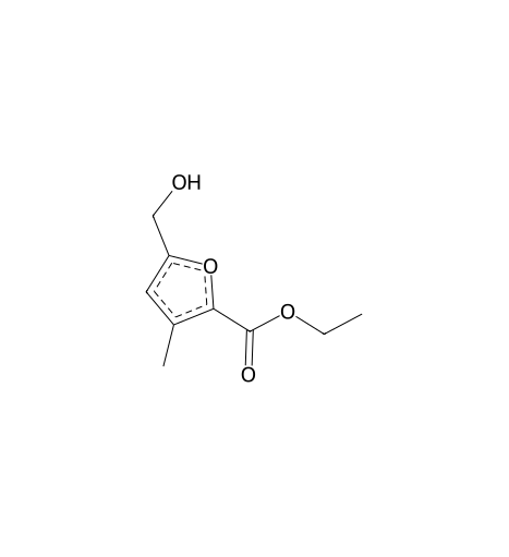 CCOC(=O)c1oc(CO)cc1C